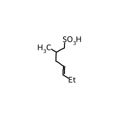 CCC=CCC(C)CS(=O)(=O)O